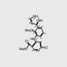 CNC(=O)c1nnc(Cl)cc1Nc1cccc(C(=N)/N=C\N)c1OC